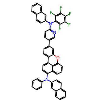 Fc1c(F)c(F)c(N(c2ccc3ccccc3c2)c2ccc(-c3ccc4c(c3)Oc3cccc5c(N(c6ccccc6)c6ccc7ccccc7c6)ccc-4c35)cn2)c(F)c1F